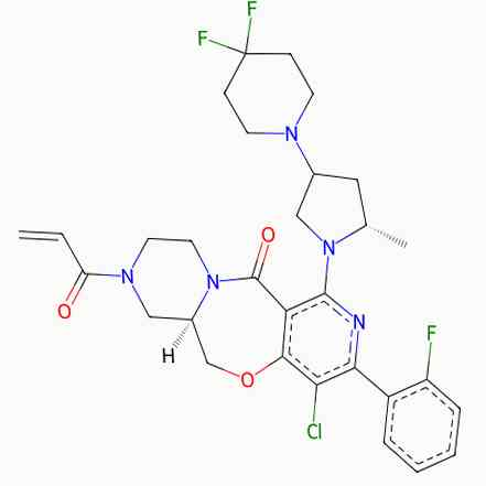 C=CC(=O)N1CCN2C(=O)c3c(N4CC(N5CCC(F)(F)CC5)C[C@@H]4C)nc(-c4ccccc4F)c(Cl)c3OC[C@H]2C1